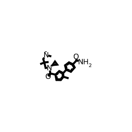 Cc1ccc(C(=O)N(CC(C)(C)CN(C)C)C2CC2)cc1-c1ccc(C(N)=O)cc1